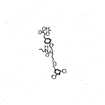 CCCNC(=O)N(CCCCOCc1cc(Cl)cc(Cl)c1)CCOc1ccc(CC(OCC)C(=O)O)cc1